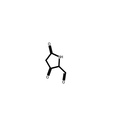 O=CC1NC(=O)CC1=O